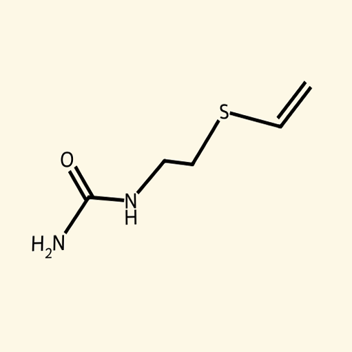 C=CSCCNC(N)=O